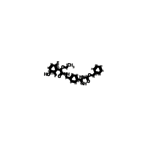 CCOC(C(=O)NCc1ccc(C(=N)NC(=O)OCc2ccccc2)cc1)c1c(F)ccc(O)c1F